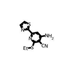 CCSc1nc(-c2nccs2)cc(N)c1C#N